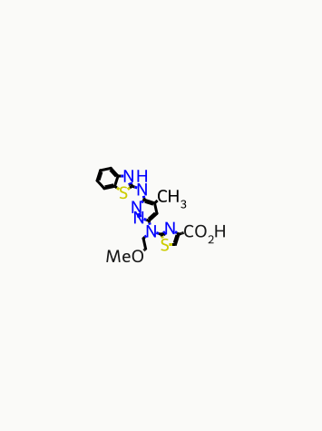 COCCN(c1cc(C)c(Nc2nc3ccccc3s2)nn1)c1nc(C(=O)O)cs1